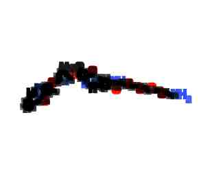 COc1cc2c(cc1OCc1cccc(COc3cc4c(cc3C)C(=O)N3Cc5ccccc5C[C@H]3C=N4)n1)N=C[C@@H]1Cc3ccc(NC(=O)CCOCCOCCOCCOCCN)cc3CN1C2=O